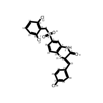 O=C1Nc2cc(S(=O)(=O)Cc3c(Cl)cccc3Cl)ccc2SC1=Cc1ccc(Cl)cc1